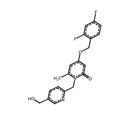 Cc1cc(OCc2ccc(F)cc2F)cc(=O)n1Cc1ccc(CO)cn1